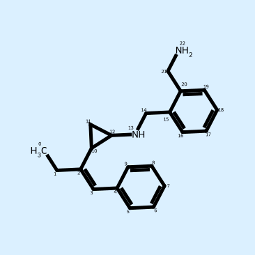 CCC(=Cc1ccccc1)C1CC1NCc1ccccc1CN